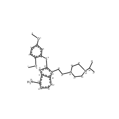 COc1ccc(OC)c(Sc2nc3c(N)ncnc3n2CCN2CCN(C(C)C)CC2)c1